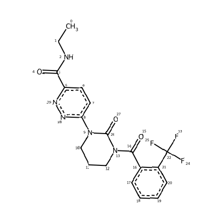 CCNC(=O)c1ccc(N2CCCN(C(=O)c3ccccc3C(F)(F)F)C2=O)nn1